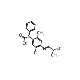 CCC(=O)N(c1ccccc1)c1cc(Cl)c(N=CN(C)CC)cc1C